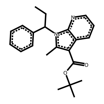 CCC(c1ccccc1)n1c(C)c(C(=O)OC(C)(C)C)c2cccnc21